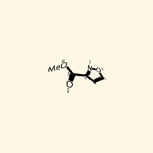 COC(=O)c1ccon1